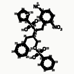 N#Cc1ccc([N+](=O)[O-])c(CN([C@@H](COS(=O)(=O)c2ccccc2)Cc2ccccc2)S(=O)(=O)c2cccs2)c1